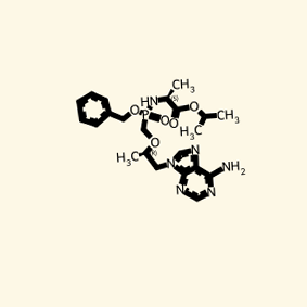 CC(C)OC(=O)[C@H](C)NP(=O)(CO[C@H](C)Cn1cnc2c(N)ncnc21)OCc1ccccc1